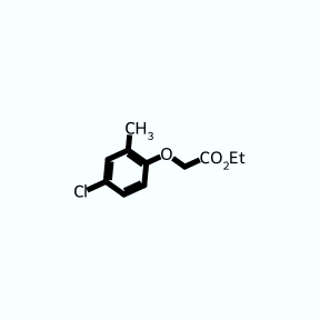 CCOC(=O)COc1ccc(Cl)cc1C